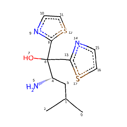 CC(C)C[C@H](N)C(O)(c1nccs1)c1nccs1